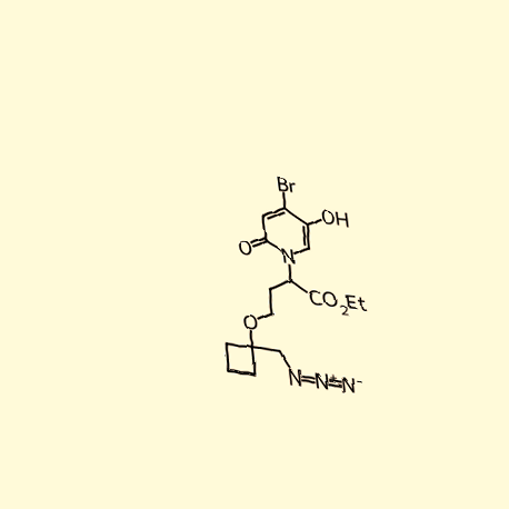 CCOC(=O)C(CCOC1(CN=[N+]=[N-])CCC1)n1cc(O)c(Br)cc1=O